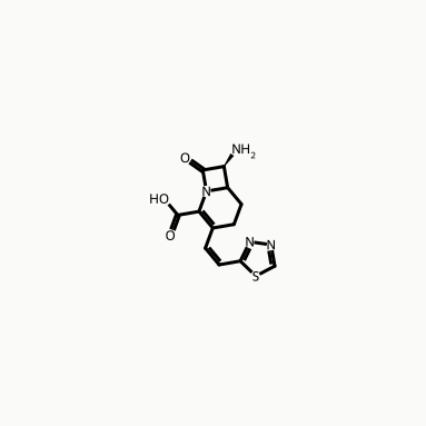 N[C@@H]1C(=O)N2C(C(=O)O)=C(/C=C\c3nncs3)CCC12